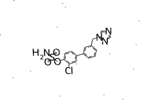 NS(=O)(=O)Oc1ccc(-c2cccc(Cn3cncn3)c2)cc1Cl